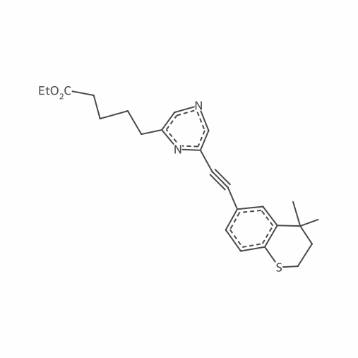 CCOC(=O)CCCCc1cncc(C#Cc2ccc3c(c2)C(C)(C)CCS3)n1